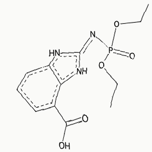 CCOP(=O)(/N=c1/[nH]c2cccc(C(=O)O)c2[nH]1)OCC